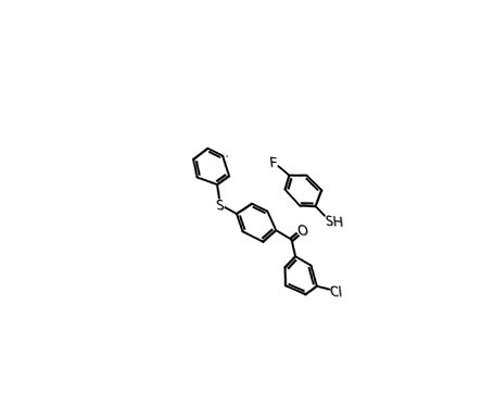 Fc1ccc(S)cc1.O=C(c1ccc(Sc2c[c]ccc2)cc1)c1cccc(Cl)c1